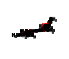 CCCCOCC(O)CN1C(C)(C)CC(OC(=O)CCCCCCCCC(=O)OC2CC(C)(C)N(CC(O)COCCCC)C(C)(C)C2)CC1(C)C